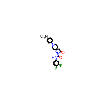 O=C1CC2(CCN(c3ccc([N+](=O)[O-])cc3)CC2)NN1C(=O)Nc1ccc(F)c(F)c1